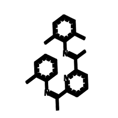 CC(=Nc1ccccc1C)c1cccc(C(C)=Nc2c(C)cccc2C)n1